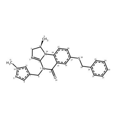 C[C@@H]1CN=C2N(Cc3cnn(C)c3)C(=O)c3cc(SCc4ccccc4)ccc3N21